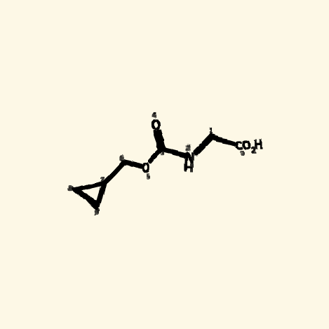 O=C(O)CNC(=O)OCC1CC1